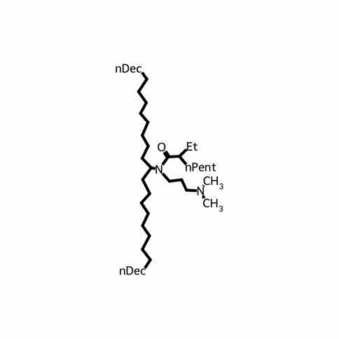 CCCCCCCCCCCCCCCCCCC(CCCCCCCCCCCCCCCCCC)N(CCCN(C)C)C(=O)C(CC)CCCCC